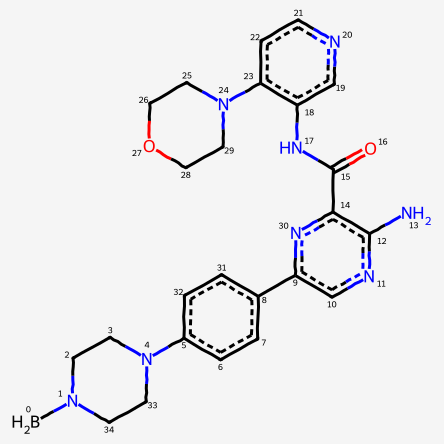 BN1CCN(c2ccc(-c3cnc(N)c(C(=O)Nc4cnccc4N4CCOCC4)n3)cc2)CC1